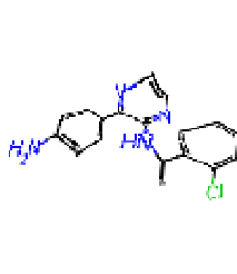 CC(Nc1nccnc1-c1ccc(N)cc1)c1ccccc1Cl